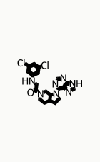 O=C(CNc1cc(Cl)cc(Cl)c1)N1CCC2CCN(c3ncnc4[nH]cnc34)C2C1